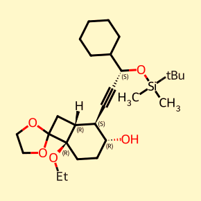 CCO[C@]12CC[C@@H](O)[C@H](C#C[C@@H](O[Si](C)(C)C(C)(C)C)C3CCCCC3)[C@H]1CC21OCCO1